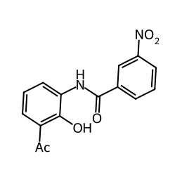 CC(=O)c1cccc(NC(=O)c2cccc([N+](=O)[O-])c2)c1O